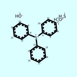 O.S.[OH-].c1ccc([S+](c2ccccc2)c2ccccc2)cc1